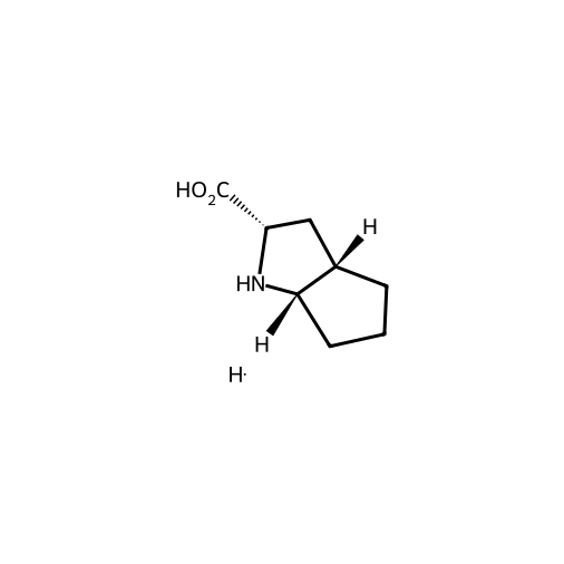 O=C(O)[C@@H]1C[C@@H]2CCC[C@@H]2N1.[H]